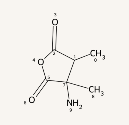 CC1C(=O)OC(=O)C1(C)N